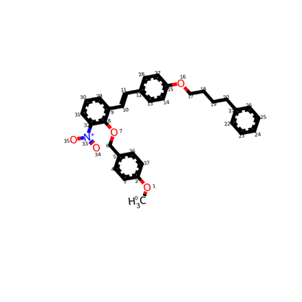 COc1ccc(COc2c(C=Cc3ccc(OCCCCc4ccccc4)cc3)cccc2[N+](=O)[O-])cc1